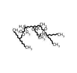 CCCCCCC(CCCCCC)CCOC(=O)CCC(C)(C)CCCC(CCCC(C)(C)CCC(=O)OCCC(CCCCCC)CCCCCC)OC(=O)CCCN(C)C